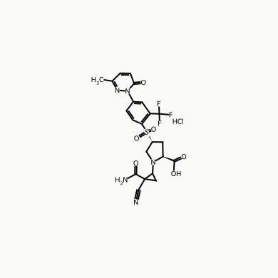 Cc1ccc(=O)n(-c2ccc(S(=O)(=O)[C@@H]3C[C@@H](C(=O)O)N(C4CC4(C#N)C(N)=O)C3)c(C(F)(F)F)c2)n1.Cl